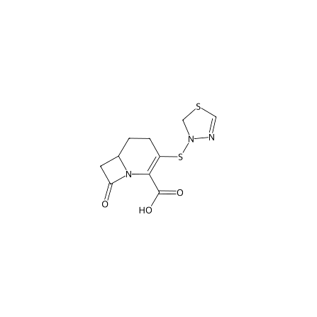 O=C(O)C1=C(SN2CSC=N2)CCC2CC(=O)N12